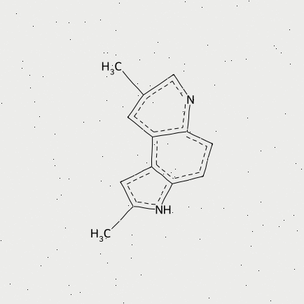 Cc1cnc2ccc3[nH]c(C)cc3c2c1